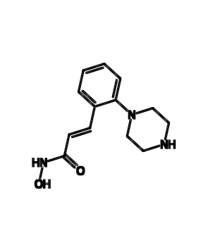 O=C(/C=C/c1ccccc1N1CCNCC1)NO